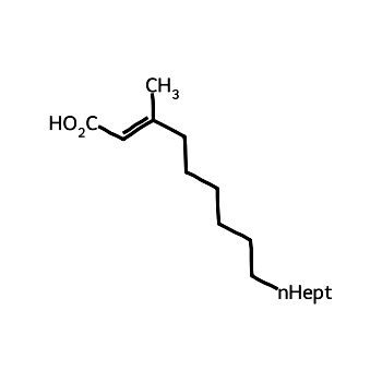 CCCCCCCCCCCCCC(C)=CC(=O)O